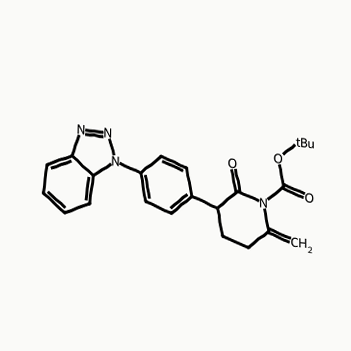 C=C1CCC(c2ccc(-n3nnc4ccccc43)cc2)C(=O)N1C(=O)OC(C)(C)C